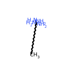 CCCCCCCCCCCCCCCCCC=C(N)C(N)(N)N